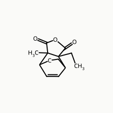 CCC12C(=O)OC(=O)C1(C)C1C=CC2CC1